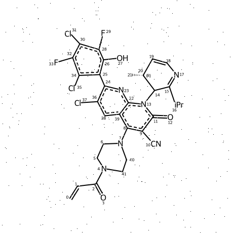 C=CC(=O)N1CCN(c2c(C#N)c(=O)n(C3C(C(C)C)=NC=C[C@H]3C)c3nc(-c4c(O)c(F)c(Cl)c(F)c4Cl)c(Cl)cc23)CC1